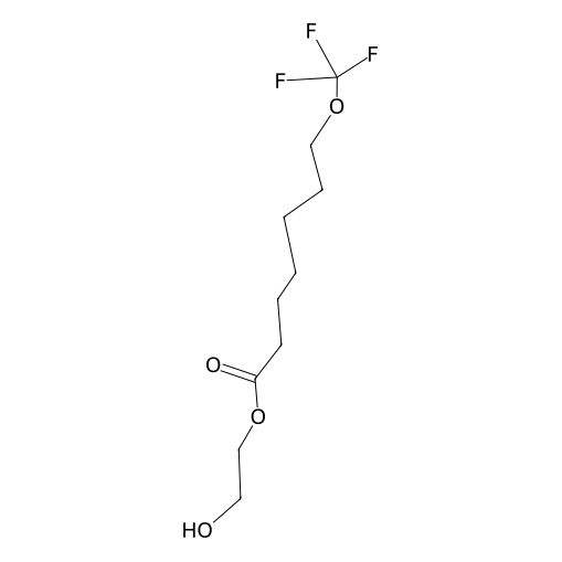 O=C(CCCCCCOC(F)(F)F)OCCO